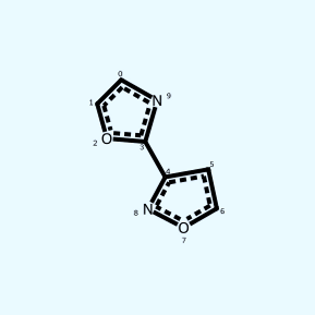 c1coc(-c2ccon2)n1